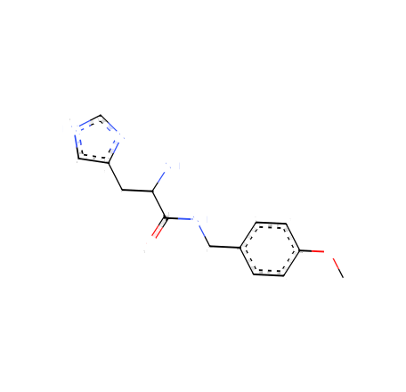 COc1ccc(CNC(=O)C(N)Cc2c[nH]cn2)cc1